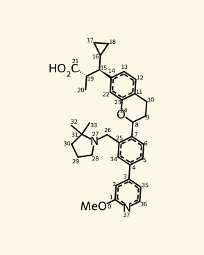 COc1cc(-c2ccc(C3CCc4ccc([C@H](C5CC5)[C@H](C)C(=O)O)cc4O3)c(CN3CCCC3(C)C)c2)ccn1